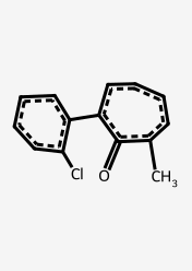 Cc1ccccc(-c2ccccc2Cl)c1=O